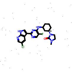 CN1CCN([C@@H]2CCCC(Nc3nc(-c4c[nH]c5ncc(Cl)cc45)ncc3F)C2)C1=O